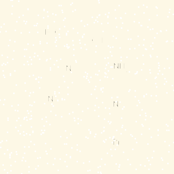 CC(C)n1cnc2cc(Br)nc(N)c21